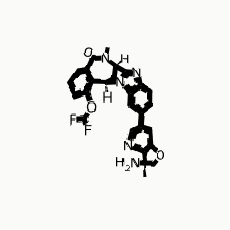 CN1C(=O)c2cccc(OC(F)F)c2[C@H]2C[C@@H]1c1nc3ccc(-c4cnc5c(c4)OC[C@]5(C)N)cc3n12